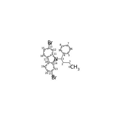 CCCC(c1ccccc1)n1c2cc(Br)ccc2c2ccc(Br)cc21